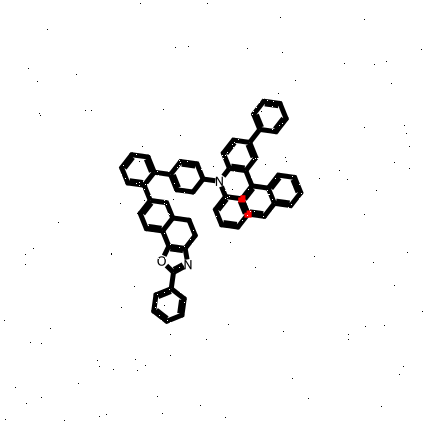 C1=CC(N(c2ccccc2)c2ccc(-c3ccccc3)cc2-c2cccc3ccccc23)CC=C1c1ccccc1C1=CC=C2c3oc(-c4ccccc4)nc3CCC2C1